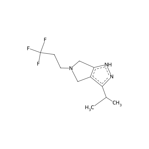 CC(C)c1n[nH]c2c1CN(CCC(F)(F)F)C2